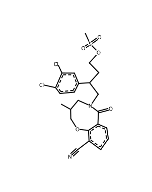 CC1COc2c(C#N)cccc2C(=O)N(CC(CCOS(C)(=O)=O)c2ccc(Cl)c(Cl)c2)C1